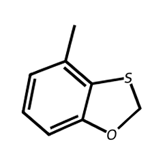 Cc1cccc2c1SCO2